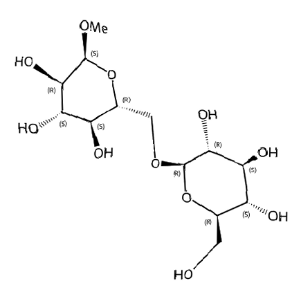 CO[C@H]1O[C@H](CO[C@@H]2O[C@H](CO)[C@@H](O)[C@H](O)[C@H]2O)[C@@H](O)[C@H](O)[C@H]1O